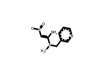 CN(Cc1cccnc1)C(N)=C[N+](=O)[O-]